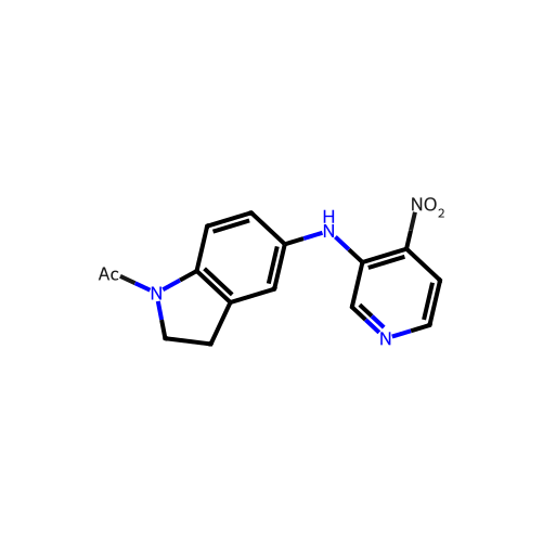 CC(=O)N1CCc2cc(Nc3cnccc3[N+](=O)[O-])ccc21